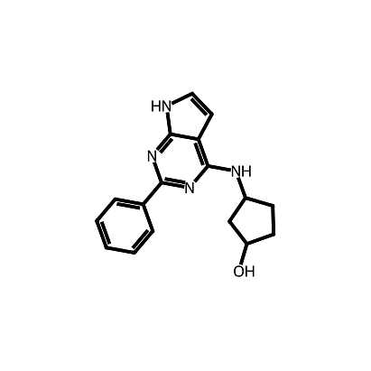 OC1CCC(Nc2nc(-c3ccccc3)nc3[nH]ccc23)C1